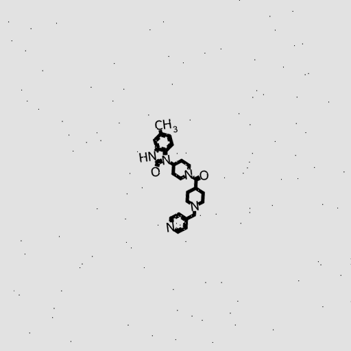 Cc1ccc2c(c1)[nH]c(=O)n2C1CCN(C(=O)C2CCN(Cc3ccncc3)CC2)CC1